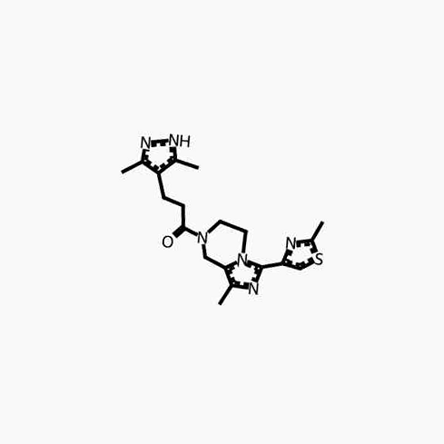 Cc1nc(-c2nc(C)c3n2CCN(C(=O)CCc2c(C)n[nH]c2C)C3)cs1